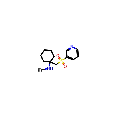 CC(C)NC1(CS(=O)(=O)c2cccnc2)CCCCC1